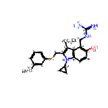 CCOC(=O)c1c(CSc2cccc(OC)c2)n(C2CC2)c2ccc(O)c(CNC(=N)N)c12